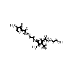 Cc1csc(C(=O)NOCCOc2sc(C(=O)NOCCO)c(C(F)(F)F)c2C)c1F